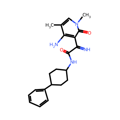 Cc1cn(C)c(=O)c(C(=N)C(=O)NC2CCC(c3ccccc3)CC2)c1N